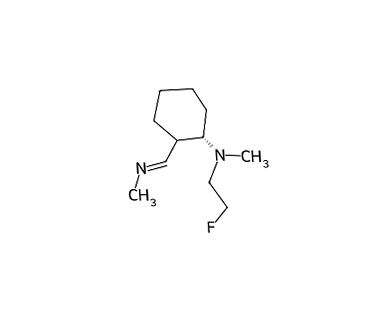 C/N=C/C1CCCC[C@@H]1N(C)CCF